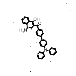 NN1CC(C(=O)c2ccc(-c3ccc(N(c4ccccc4)c4ccccc4)cc3)cc2)=C(O)c2ccccc21